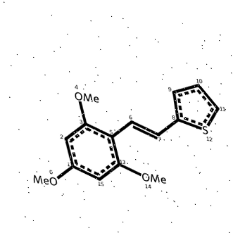 COc1cc(OC)c(C=Cc2cccs2)c(OC)c1